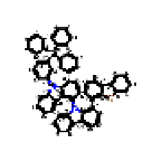 c1ccc([Si](c2ccccc2)(c2ccccc2)c2cccc(-n3c4ccccc4c4c(-n5c6ccccc6c6cccc(-c7cccc8c7sc7ccccc78)c65)cccc43)c2)cc1